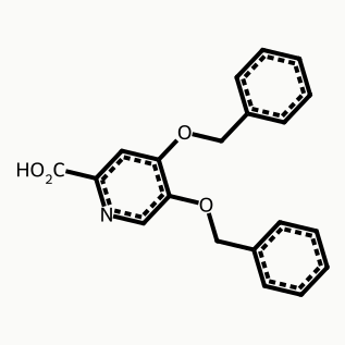 O=C(O)c1cc(OCc2ccccc2)c(OCc2ccccc2)cn1